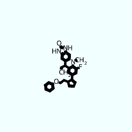 C=CC(c1ccc2[nH]c(=O)[nH]c2c1)c1cc(C2=CC=CC2CCOc2ccccc2)cc(F)c1N=C